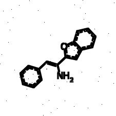 NC(=Cc1ccccc1)c1cc2ccccc2o1